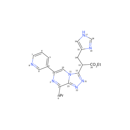 CCCc1nc(-c2cccnc2)cn2c(C(Cc3c[nH]cn3)C(=O)OCC)nnc12